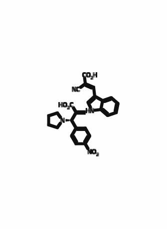 C=C(C(=O)O)[C@H](c1ccc([N+](=O)[O-])cc1)N1CCCC1.N#C/C(=C\c1c[nH]c2ccccc12)C(=O)O